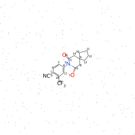 N#Cc1ccc(N2C(=O)CC3(CCCC3)CC2=O)cc1C(F)(F)F